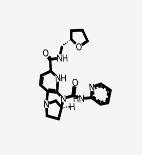 O=C(NC[C@@H]1CCCO1)C1C=CC2=C(N1)N(C(=O)Nc1ccccn1)[C@H]1CCN2C1